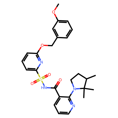 COc1cccc(COc2cccc(S(=O)(=O)NC(=O)c3cccnc3N3CCC(C)C3(C)C)n2)c1